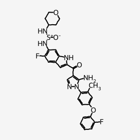 Cc1cc(Oc2ccccc2F)ccc1-n1ncc(C(=O)c2cc3cc(F)c(N[S+]([O-])NC4CCOCC4)cc3[nH]2)c1N